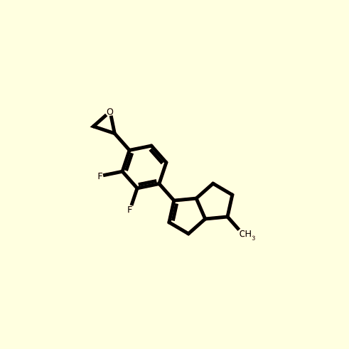 CC1CCC2C(c3ccc(C4CO4)c(F)c3F)=CCC12